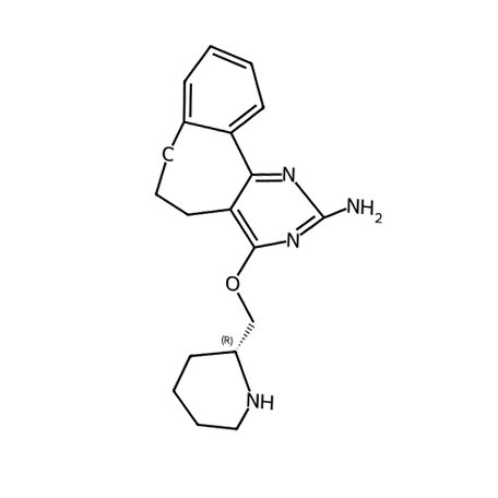 Nc1nc(OC[C@H]2CCCCN2)c2c(n1)-c1ccccc1CCC2